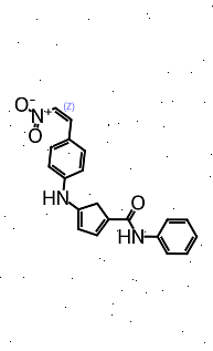 O=C(Nc1ccccc1)C1=CC=C(Nc2ccc(/C=C\[N+](=O)[O-])cc2)C1